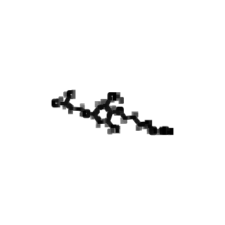 CCc1cc(OCC=C(Cl)Cl)cc(C)c1OCC/C=N/OC(C)(C)C